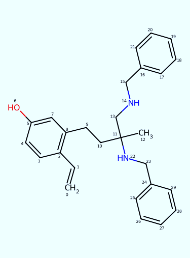 C=Cc1ccc(O)cc1CCC(C)(CNCc1ccccc1)NCc1ccccc1